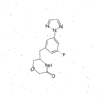 O=C1COCC(Cc2cc(F)cc(-n3nccn3)c2)N1